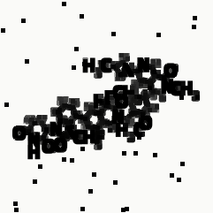 COc1cc(-c2cn(C)c(=O)c3cnc(N4CC(C)C4)cc23)cc(OC)c1CN1Cc2c(F)cc(-c3cccc4c3n(C)c(=O)n4C3CCC(=O)NC3=O)cc2C(F)(F)C1